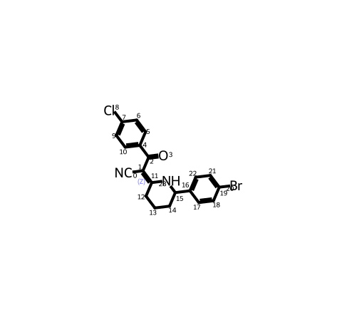 N#C/C(C(=O)c1ccc(Cl)cc1)=C1\CCCC(c2ccc(Br)cc2)N1